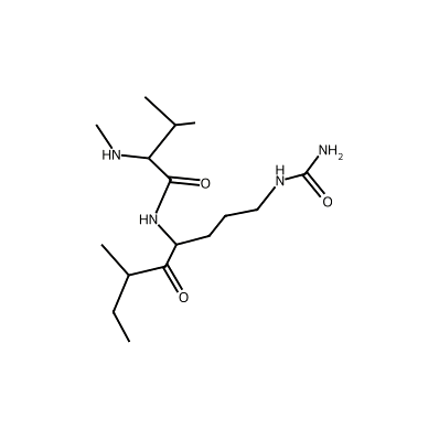 CCC(C)C(=O)C(CCCNC(N)=O)NC(=O)C(NC)C(C)C